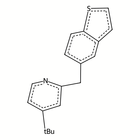 CC(C)(C)c1ccnc(Cc2ccc3sccc3c2)c1